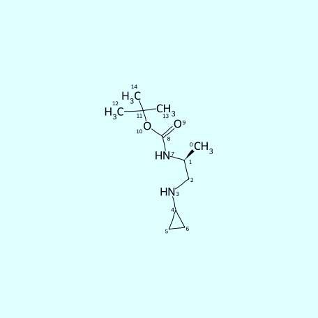 C[C@@H](CNC1CC1)NC(=O)OC(C)(C)C